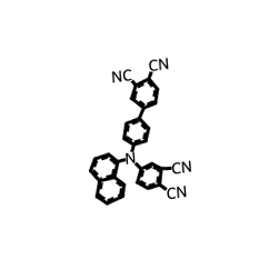 N#Cc1ccc(-c2ccc(N(c3ccc(C#N)c(C#N)c3)c3cccc4ccccc34)cc2)cc1C#N